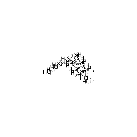 Cl.Cl.Cl.Cl.Cl.Cl.[SiH3][SiH3].[SiH3][SiH3].[SiH3][SiH3].[SiH3][SiH3].[SiH3][SiH3].[SiH3][SiH3]